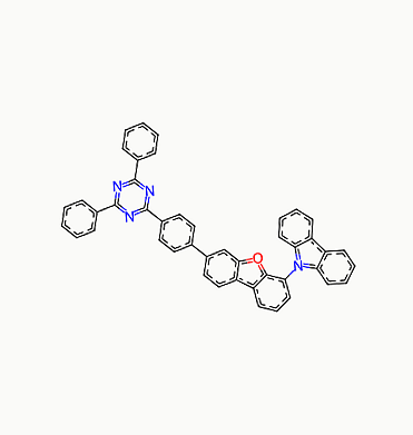 c1ccc(-c2nc(-c3ccccc3)nc(-c3ccc(-c4ccc5c(c4)oc4c(-n6c7ccccc7c7ccccc76)cccc45)cc3)n2)cc1